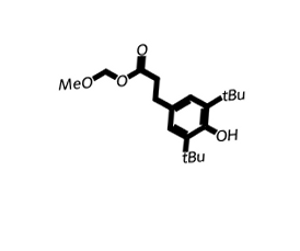 COCOC(=O)CCc1cc(C(C)(C)C)c(O)c(C(C)(C)C)c1